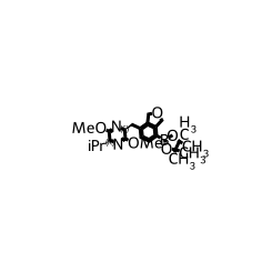 COC1=N[C@H](C(C)C)C(OC)=N[C@H]1Cc1ccc(B2OC(C)(C)C(C)(C)O2)c2c1COC2